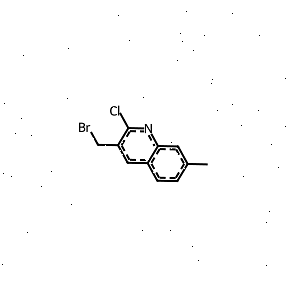 Cc1ccc2cc(CBr)c(Cl)nc2c1